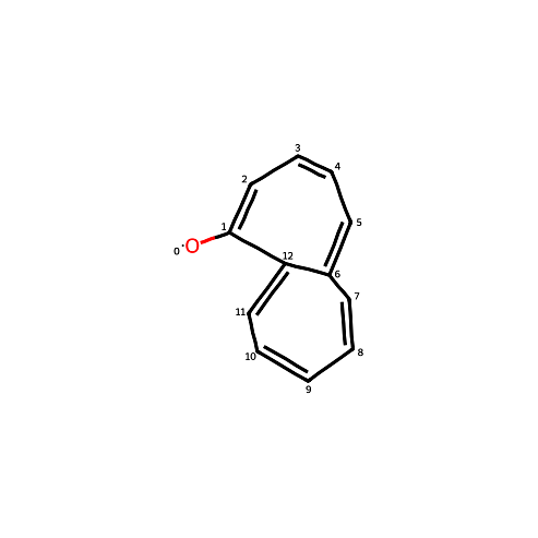 [O]C1=CC=CC=C2C=CC=CC=C12